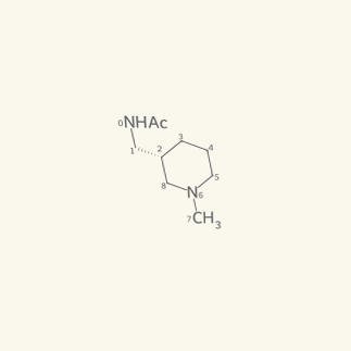 CC(=O)NC[C@@H]1CCCN(C)C1